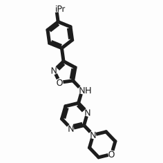 CC(C)c1ccc(-c2cc(Nc3ccnc(N4CCOCC4)n3)on2)cc1